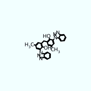 Cc1cc(Cc2cc(C)cc(-n3nnc4ccccc43)c2O)c(O)c(-n2nnc3ccccc32)c1